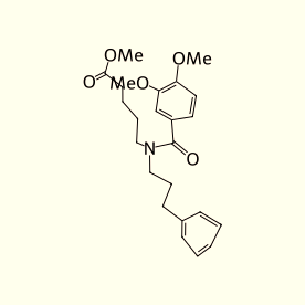 COC(=O)CCCCN(CCCc1ccccc1)C(=O)c1ccc(OC)c(OC)c1